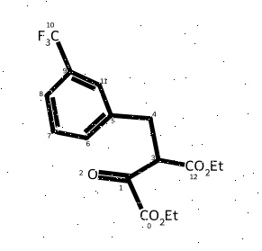 CCOC(=O)C(=O)C(Cc1cccc(C(F)(F)F)c1)C(=O)OCC